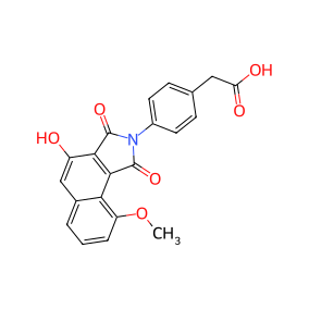 COc1cccc2cc(O)c3c(c12)C(=O)N(c1ccc(CC(=O)O)cc1)C3=O